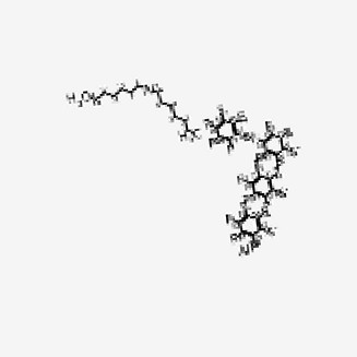 CCCCCC[CH2][Al+][CH2]CCCCCC.Fc1c(F)c(F)c([S-])c(F)c1F.Fc1c(F)c(F)c([S-])c(F)c1F.Fc1c(F)c(F)c([S-])c(F)c1F.Fc1c(F)c(F)c([S-])c(F)c1F.[Al+3]